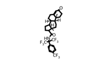 C[C@]12CCC(=O)C=C1CC[C@@H]1[C@H]2CC[C@]2(C)C(C(=O)NC(c3ccc(C(F)(F)F)cc3)(C(F)(F)F)C(F)(F)F)CC[C@@H]12